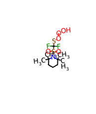 CC1(C)CCCC(C)(C)N1S(=O)(=O)C(F)(F)SOOO